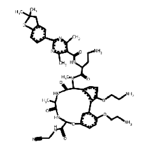 Cc1nc(-c2ccc3c(c2)CC(C)(C)O3)nc(C)c1C(=O)NC(CCN)C(=O)N(C)C1C(=O)NC(C)C(=O)NC(C(=O)NCC#N)Cc2ccc(OCCN)c(c2)-c2cc1ccc2OCCN